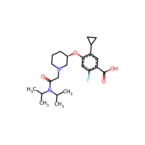 CC(C)N(C(=O)CN1CCC[C@@H](Oc2cc(F)c(C(=O)O)cc2C2CC2)C1)C(C)C